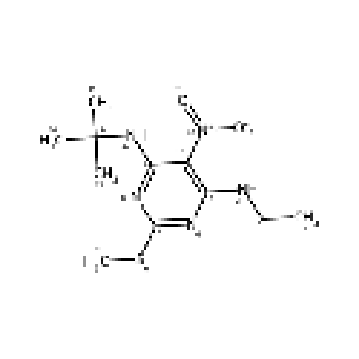 CCNc1nc(SC)nc(NC(C)(C)C)c1[N+](=O)[O-]